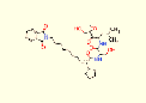 CC(C)CC(NC(=O)C(CO)NC(=O)[C@@H](CCCCCCCCN1C(=O)c2ccccc2C1=O)C1CCCC1)C(=O)C1(CO)CO1